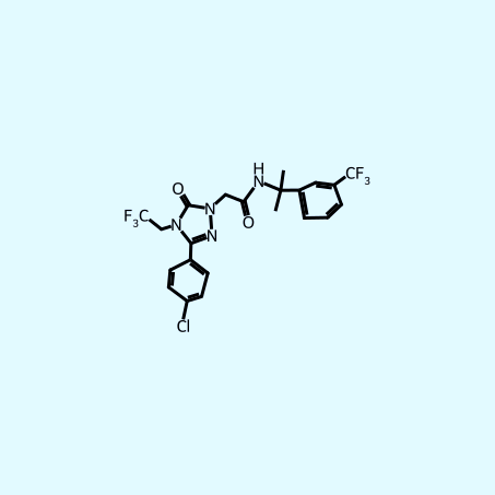 CC(C)(NC(=O)Cn1nc(-c2ccc(Cl)cc2)n(CC(F)(F)F)c1=O)c1cccc(C(F)(F)F)c1